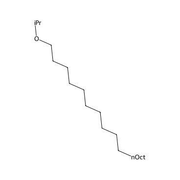 CCCCCCCCCCCCCCCCCCOC(C)C